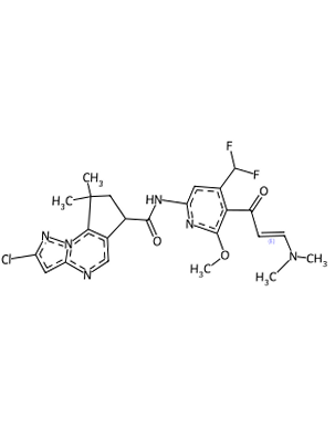 COc1nc(NC(=O)C2CC(C)(C)c3c2cnc2cc(Cl)nn32)cc(C(F)F)c1C(=O)/C=C/N(C)C